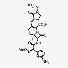 CO/N=C(\C(=O)N[C@@H]1C(=O)N2C(C(=O)O)=C(C=C3CCN(CC(=O)O)C3=O)CS[C@H]12)c1csc(N)n1